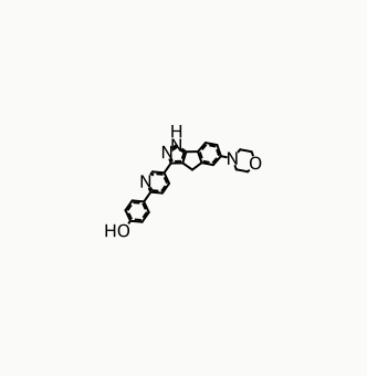 Oc1ccc(-c2ccc(-c3n[nH]c4c3Cc3cc(N5CCOCC5)ccc3-4)cn2)cc1